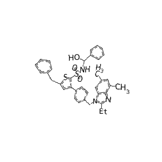 CCc1nc2c(C)cc(C)cc2n1Cc1ccc(-c2cc(Cc3ccccc3)sc2S(=O)(=O)NC(O)c2ccccc2)cc1